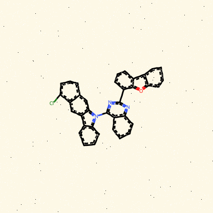 Clc1cccc2cc3c(cc12)c1ccccc1n3-c1nc(-c2cccc3c2oc2ccccc23)nc2ccccc12